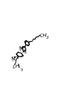 CCCCCCCCc1ccc(-c2cnc([C@H]3CC[C@@](C#N)(CCCCC)CC3)nc2)cc1